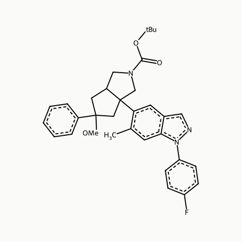 COC1(c2ccccc2)CC2CN(C(=O)OC(C)(C)C)CC2(c2cc3cnn(-c4ccc(F)cc4)c3cc2C)C1